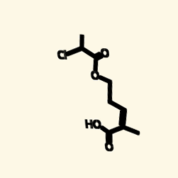 CC(=CCCOC(=O)C(C)Cl)C(=O)O